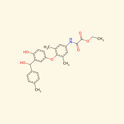 CCOC(=O)C(=O)Nc1cc(C)c(Oc2ccc(O)c(C(O)c3ccc(C)cc3)c2)c(C)c1